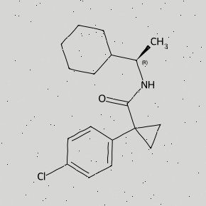 C[C@@H](NC(=O)C1(c2ccc(Cl)cc2)CC1)C1CCCCC1